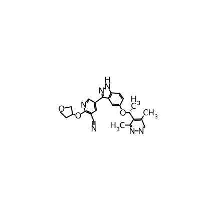 Cc1cnnc(C)c1[C@@H](C)Oc1ccc2[nH]nc(-c3cnc(O[C@H]4CCOC4)c(C#N)c3)c2c1